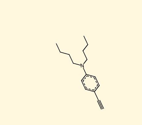 C#Cc1ccc(N(CCCC)CCCC)cc1